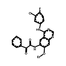 CCOc1cc2ncnc(Nc3ccc(F)c(Cl)c3)c2cc1NC(=O)C(=O)c1ccccc1